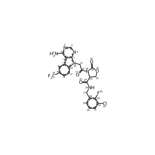 Nc1ncnc2c1c1cc(C(F)(F)F)ccc1n2CC(=O)N1C(=O)OCC1C(=O)NCc1cccc(Cl)c1F